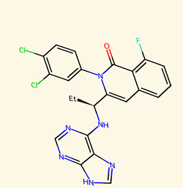 CC[C@H](Nc1ncnc2[nH]cnc12)c1cc2cccc(F)c2c(=O)n1-c1ccc(Cl)c(Cl)c1